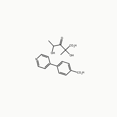 CC(O)C(=O)C(C)(O)C(=O)O.O=C(O)c1ccc(-c2ccncc2)cc1